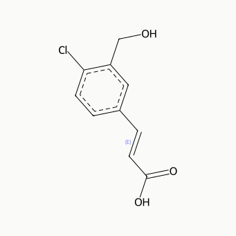 O=C(O)/C=C/c1ccc(Cl)c(CO)c1